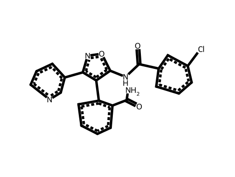 NC(=O)c1ccccc1-c1c(-c2cccnc2)noc1NC(=O)c1cccc(Cl)c1